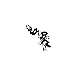 C=C1CC[C@](C)(N2C(=O)c3cccc(OCc4ccc(CN5CCOCC5)cc4)c3C2=O)C(=O)N1